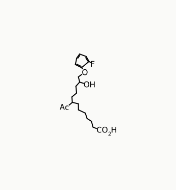 CC(=O)C(CCCCCCC(=O)O)CCCC(O)COc1ccccc1F